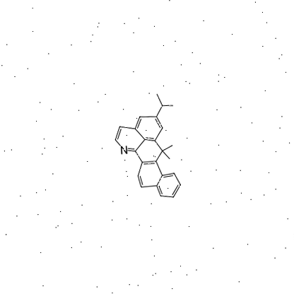 CC(C)c1cc2c3c(nccc3c1)-c1ccc3ccccc3c1C2(C)C